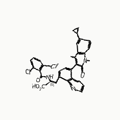 Cc1c(-c2ccc(C[C@H](NC(=O)c3c(Cl)cccc3Cl)C(=O)O)c3ncccc23)c(=O)n(C)c2ccc(C3CC3)cc12